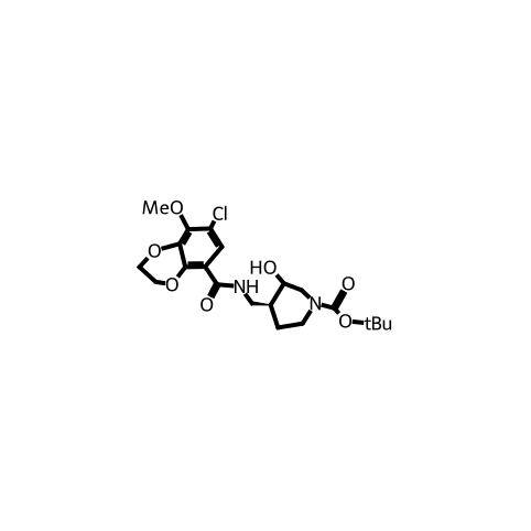 COc1c(Cl)cc(C(=O)NC[C@@H]2CCN(C(=O)OC(C)(C)C)CC2O)c2c1OCCO2